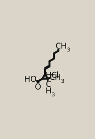 CCCCCC=CC1C(C(=O)O)C1(C)C.Cl